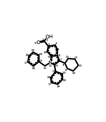 O=C(O)c1ccc2c(C3CCCCC3)c(-c3ccccc3)n(Cc3ccccc3)c2c1